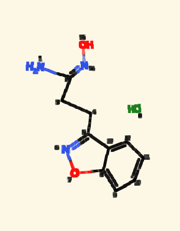 Cl.NC(CCc1noc2ccccc12)=NO